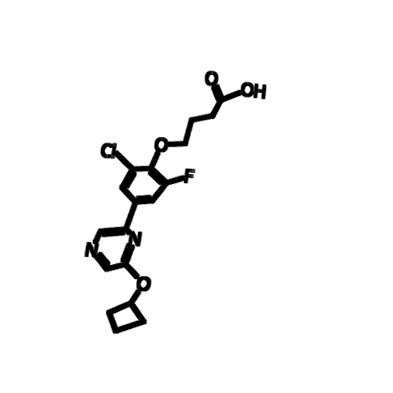 O=C(O)CCCOc1c(F)cc(-c2cncc(OC3CCC3)n2)cc1Cl